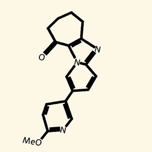 COc1ccc(-c2ccc3nc4c(n3c2)C(=O)CCCC4)cn1